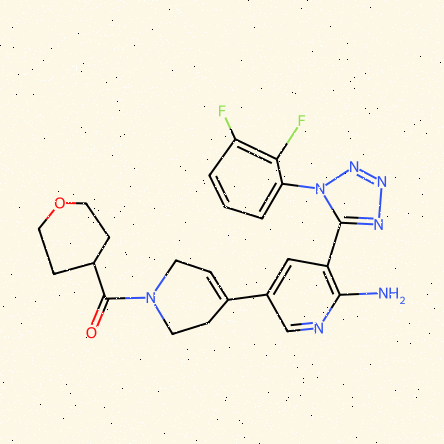 Nc1ncc(C2=CCN(C(=O)C3CCOCC3)CC2)cc1-c1nnnn1-c1cccc(F)c1F